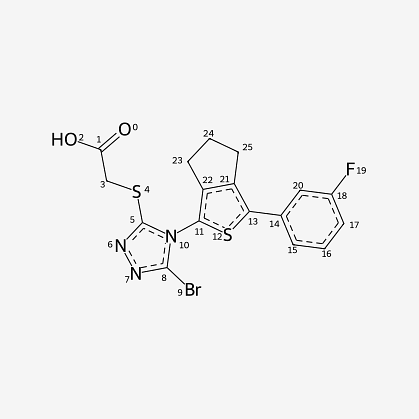 O=C(O)CSc1nnc(Br)n1-c1sc(-c2cccc(F)c2)c2c1CCC2